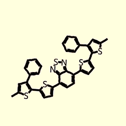 Cc1cc(-c2ccccc2)c(-c2ccc(-c3ccc(-c4ccc(-c5sc(C)cc5-c5ccccc5)s4)c4nsnc34)s2)s1